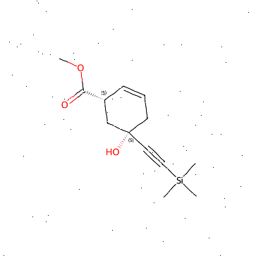 COC(=O)[C@@H]1C=CC[C@@](O)(C#C[Si](C)(C)C)C1